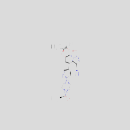 C#CC(=O)N1CCN(c2ccc(-c3cc(O[C@@H](C)[C@H](C)O)cn4ncc(C#N)c34)cn2)CC1